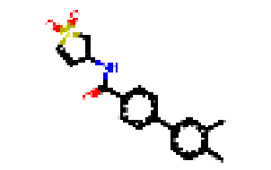 Cc1ccc(-c2ccc(C(=O)NC3C=CS(=O)(=O)C3)cc2)cc1C